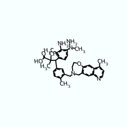 Cc1ccc(C(c2ccc(N(C)N)c(N)c2C)C(C)(C)C(=O)O)cc1CN1CCOc2cc3c(C)ccnc3cc2C1